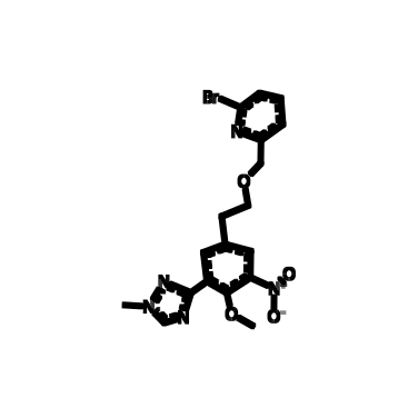 COc1c(-c2ncn(C)n2)cc(CCOCc2cccc(Br)n2)cc1[N+](=O)[O-]